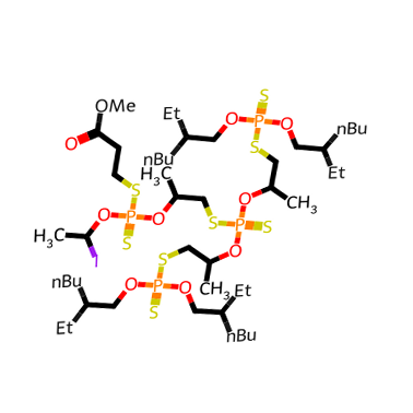 CCCCC(CC)COP(=S)(OCC(CC)CCCC)SCC(C)OP(=S)(OC(C)CSP(=S)(OCC(CC)CCCC)OCC(CC)CCCC)SCC(C)OP(=S)(OC(C)I)SCCC(=O)OC